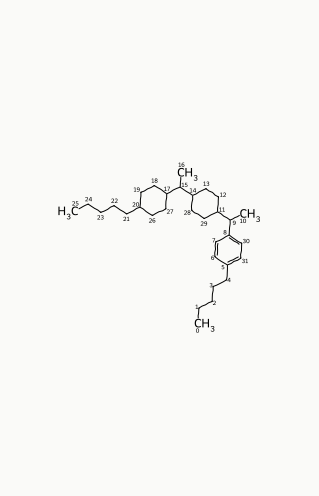 CCCCCc1ccc(C(C)C2CCC(C(C)C3CCC(CCCCC)CC3)CC2)cc1